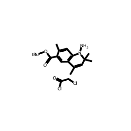 CC1=CC(C)(C)N(N)c2cc(C)c(C(=O)OC(C)(C)C)cc21.O=C(Cl)CCl